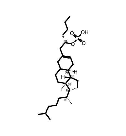 CCCC[C@@H](CC1=CC[C@@H]2C(CC[C@]3(C)[C@@H]([C@H](C)CCCC(C)C)CC[C@@H]23)C1)OS(=O)(=O)O